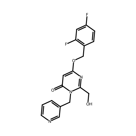 O=c1cc(OCc2ccc(F)cc2F)nc(CO)n1Cc1cccnc1